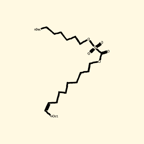 CCCCCCCC/C=C\CCCCCCCCOC(=O)S(=O)(=O)OCCCCCCCCCCCCCCCC